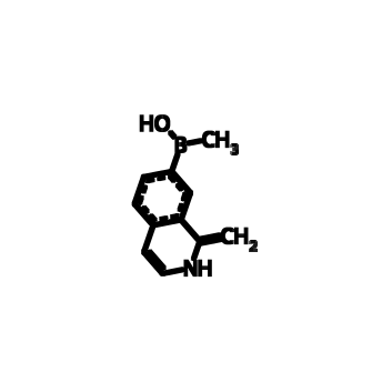 C=C1NC=Cc2ccc(B(C)O)cc21